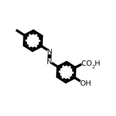 Cc1ccc(/N=N/c2ccc(O)c(C(=O)O)c2)cc1